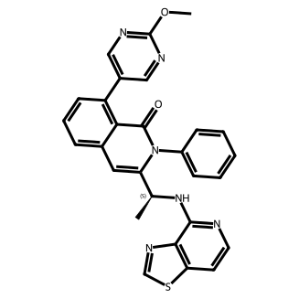 COc1ncc(-c2cccc3cc([C@H](C)Nc4nccc5scnc45)n(-c4ccccc4)c(=O)c23)cn1